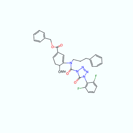 COC1CC=C(C(=O)OCc2ccccc2)C=C1N(CCCc1ccccc1)C(=O)n1nnn(-c2c(F)cccc2F)c1=O